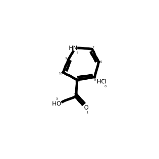 Cl.O=C(O)C1=CC=CNC=C1